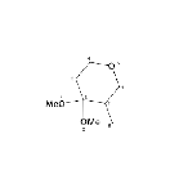 COC1(OC)CCOCC1C